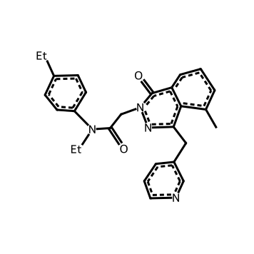 CCc1ccc(N(CC)C(=O)Cn2nc(Cc3cccnc3)c3c(C)cccc3c2=O)cc1